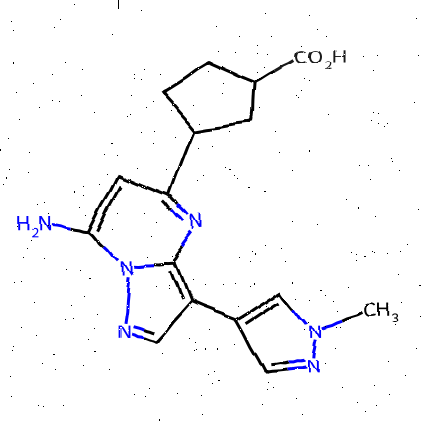 Cn1cc(-c2cnn3c(N)cc(C4CCC(C(=O)O)C4)nc23)cn1